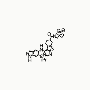 CC(C)Oc1cc2[nH]ncc2cc1Nc1ncnc2sc3c(c12)CCC(C(=O)N1CC2(CCS2(=O)=O)C1)C3